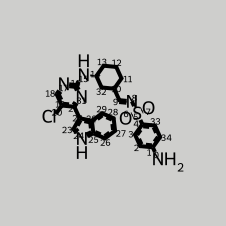 Nc1ccc(S(=O)(=O)/N=C/C2CCC[C@@H](Nc3ncc(Cl)c(-c4c[nH]c5ccccc45)n3)C2)cc1